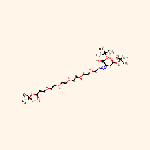 CC(C)(C)OC(=O)CCOCCOCCOCCOCCOCCNC(CC(=O)OC(C)(C)C)C(=O)OC(C)(C)C